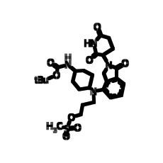 CC(C)(C)OC(=O)NC1CCC(N(CCCOS(C)(=O)=O)c2cccc3c2CN(C2CCC(=O)NC2=O)C3=O)CC1